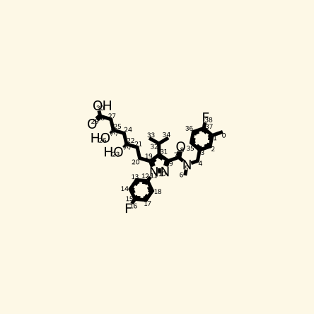 Cc1cc(CN(C)C(=O)c2nn(-c3ccc(F)cc3)c(CC[C@@H](O)C[C@@H](O)CC(=O)O)c2C(C)C)ccc1F